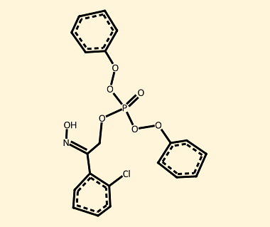 O=P(OCC(=NO)c1ccccc1Cl)(OOc1ccccc1)OOc1ccccc1